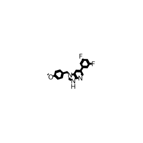 COc1ccc(CN2CNc3ncc(-c4cc(F)cc(F)c4)cc32)cc1